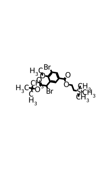 COc1c(Br)cc(C(=O)OCC[Si](C)(C)C)cc1C(Br)C(=O)OC(C)(C)C